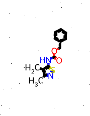 [CH2]c1c(C)nsc1NC(=O)OCc1ccccc1